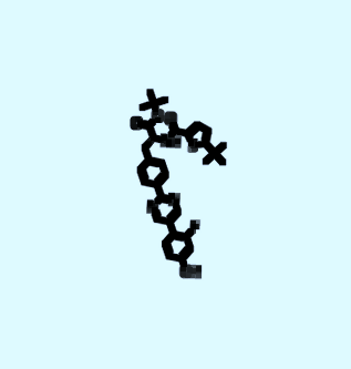 CC(C)(C)OC(=O)[C@H](Cc1ccc(-c2ncc(-c3ccc(O)cc3F)cn2)cc1)NC(=O)c1ccc(C(C)(C)C)s1